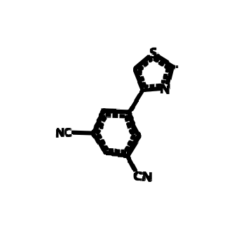 N#Cc1cc(C#N)cc(-c2cs[c]n2)c1